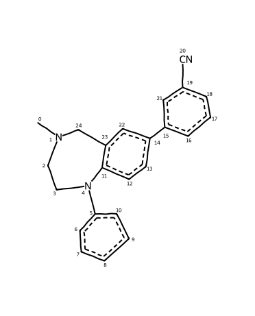 CN1CCN(c2ccccc2)c2ccc(-c3cccc(C#N)c3)cc2C1